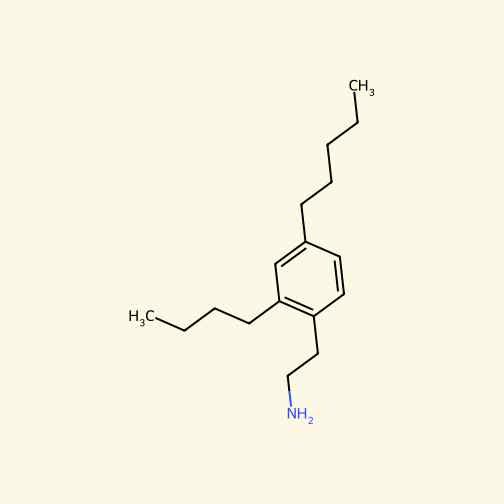 CCCCCc1ccc(CCN)c(CCCC)c1